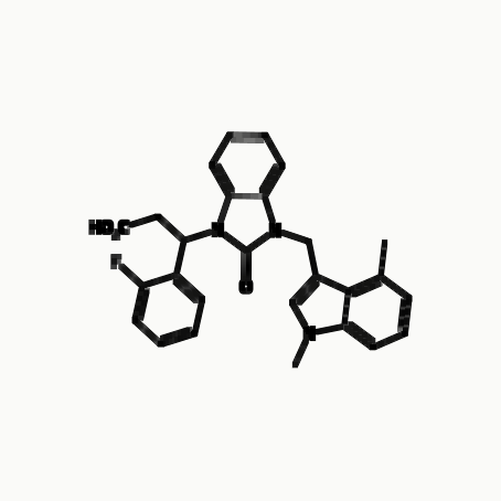 Cc1cccc2c1c(Cn1c(=O)n(C(CC(=O)O)c3ccccc3F)c3ccccc31)cn2C